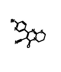 N#Cc1c(-c2ccc(Br)nc2)nc2n(c1=O)CCCS2